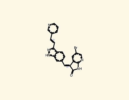 O=C1Nc2ncc(Br)cc2/C1=C\c1ccc2c(/C=C/c3cccnc3)n[nH]c2c1